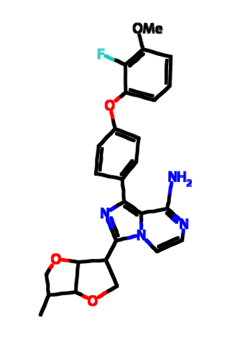 COc1cccc(Oc2ccc(-c3nc(C4COC5C(C)COC45)n4ccnc(N)c34)cc2)c1F